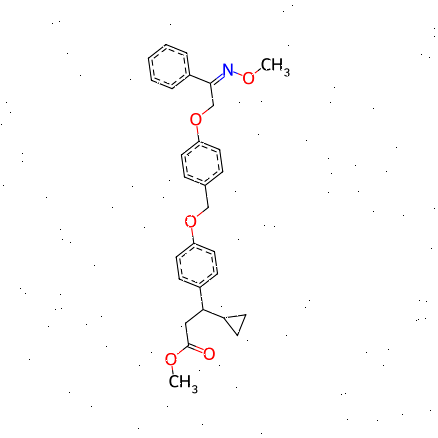 CO/N=C(\COc1ccc(COc2ccc(C(CC(=O)OC)C3CC3)cc2)cc1)c1ccccc1